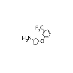 NC1CCC(Oc2cccc(C(F)(F)F)c2)C1